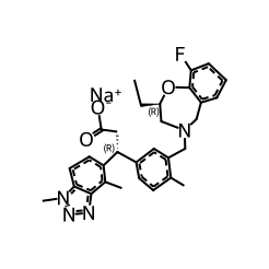 CC[C@@H]1CN(Cc2cc([C@@H](CC(=O)[O-])c3ccc4c(nnn4C)c3C)ccc2C)Cc2cccc(F)c2O1.[Na+]